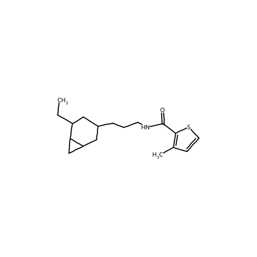 CCC1CC(CCCNC(=O)c2sccc2C)CC2CC12